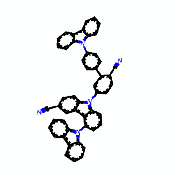 N#Cc1ccc2c(c1)c1c(-n3c4ccccc4c4ccccc43)cccc1n2-c1ccc(C#N)c(-c2ccc(-n3c4ccccc4c4ccccc43)cc2)c1